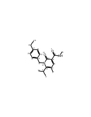 CNC(=O)c1cc(C)c(C(C)C)n(Cc2ccc(CI)cc2)c1=O